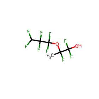 OC(F)(F)C(F)(OC(F)(F)C(F)(F)C(F)F)C(F)(F)F